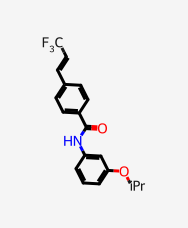 CC(C)Oc1cccc(NC(=O)c2ccc(/C=C/C(F)(F)F)cc2)c1